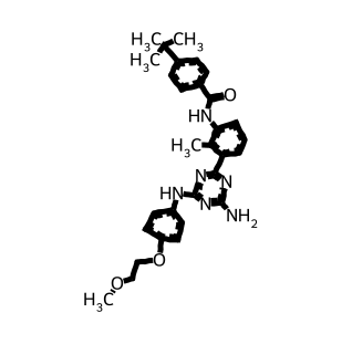 COCCOc1ccc(Nc2nc(N)nc(-c3cccc(NC(=O)c4ccc(C(C)(C)C)cc4)c3C)n2)cc1